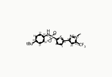 Cn1nc(-c2ccc(S(=O)(=O)Nc3ccc(C(C)(C)C)cc3)s2)cc1C(F)(F)F